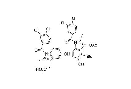 CCC(C)c1c(O)ccc2c1c(OC(C)=O)c(C)n2C(=O)c1ccc(Cl)c(Cl)c1.Cc1c(CC(=O)O)c2cc(O)ccc2n1C(=O)c1ccc(Cl)c(Cl)c1